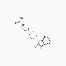 CC(C)(C)C(=O)N1CCN([C@H]2CC[C@@H](n3c(=O)[nH]c4ccccc43)CC2)CC1